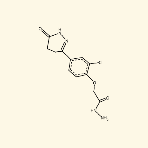 NNC(=O)COc1ccc(C2=NNC(=O)CC2)cc1Cl